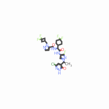 CC(c1cc(Cl)n[nH]c1=O)n1cc(NC(=O)C(NC(=O)c2ccnn2CC2CC(F)(F)C2)C2CCC(F)(F)CC2)c(F)n1